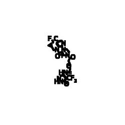 C[C@@H](COCCC(=O)N1CCN2c3ncc(C(F)(F)F)cc3N(CC3CC3)C(=O)[C@@H]2C1)Nc1cn[nH]c(=O)c1C(F)(F)F